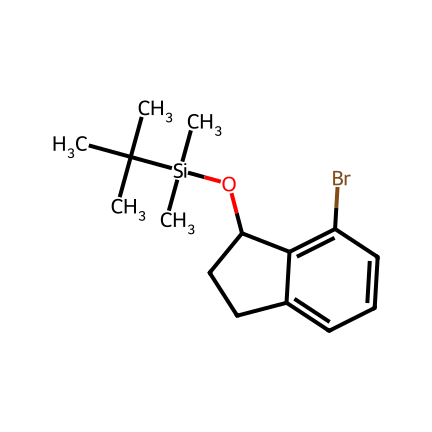 CC(C)(C)[Si](C)(C)OC1CCc2cccc(Br)c21